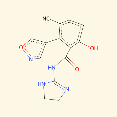 N#Cc1ccc(O)c(C(=O)NC2=NCCN2)c1-c1cnoc1